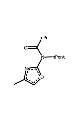 CCCCCN(C(=O)CCC)c1nc(C)co1